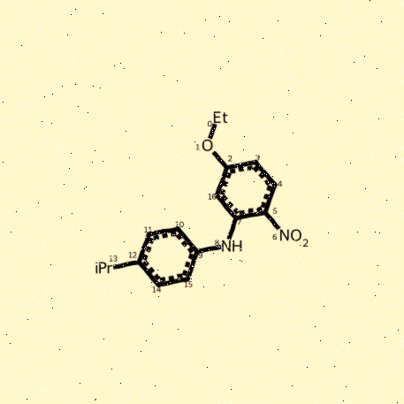 CCOc1ccc([N+](=O)[O-])c(Nc2ccc(C(C)C)cc2)c1